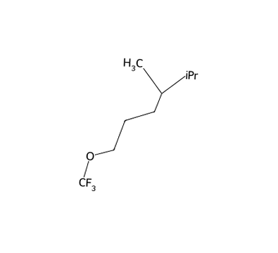 CC(C)C(C)CCCOC(F)(F)F